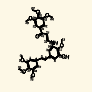 COc1cc(C=Cc2cc(O)c(OC)c(NC=CC(=O)c3cc(OC)c(OC)c(OC)c3)c2)cc(OC)c1OC